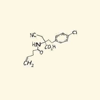 C=CCCC(=O)NC(CC#N)(CCc1ccc(Cl)cc1)C(=O)O